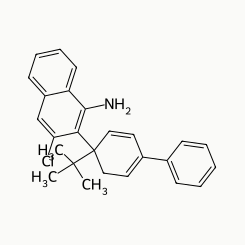 CC(C)(C)C1(c2c(Cl)cc3ccccc3c2N)C=CC(c2ccccc2)=CC1